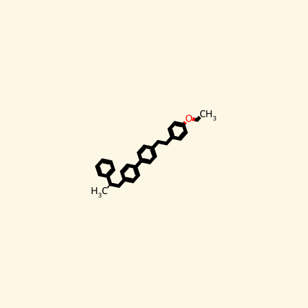 CCOc1ccc(CCc2ccc(-c3ccc(C[C@H](C)c4ccccc4)cc3)cc2)cc1